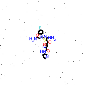 C[C@H](C(N)=O)N(c1ccc(F)cc1)c1nc(N)c(C(=O)c2cc(C(=O)Nc3cccnc3)no2)s1